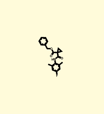 Cc1cc(F)cc(C)c1NC(=O)C1(C(=O)OCc2ccccc2)CC1